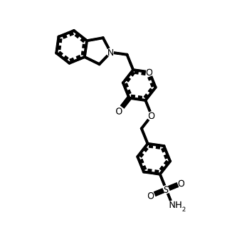 NS(=O)(=O)c1ccc(COc2coc(CN3Cc4ccccc4C3)cc2=O)cc1